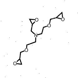 C(CN(CCOCC1CO1)CC1CO1)OCC1CO1